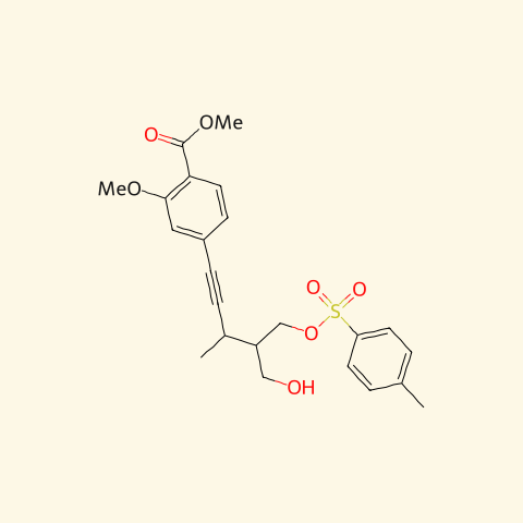 COC(=O)c1ccc(C#CC(C)C(CO)COS(=O)(=O)c2ccc(C)cc2)cc1OC